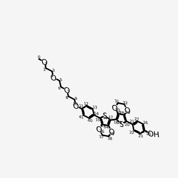 COCCOCCOCCOc1ccc(-c2sc(-c3sc(-c4ccc(O)cc4)c4c3OCCO4)c3c2OCCO3)cc1